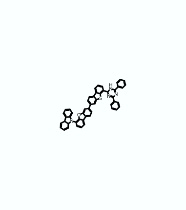 C1=CC2c3ccccc3N(c3cccc4c3oc3cc(-c5ccc6c(c5)sc5c(C7N=C(c8ccccc8)N=C(c8ccccc8)N7)cccc56)ccc34)C2C=C1